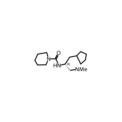 CNC[C@@H](CC1CCCC1)NC(=O)N1CCCCC1